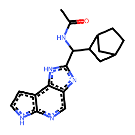 CC(=O)NC(c1nc2cnc3[nH]ccc3c2[nH]1)C1CC2CCC1C2